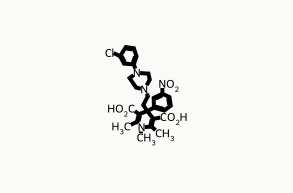 CC1=C(C(=O)O)C(CCN2CCN(c3cccc(Cl)c3)CC2)(c2cccc([N+](=O)[O-])c2)C(C(=O)O)=C(C)N1C